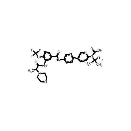 CC(C(=O)Nc1cc(C(=O)Nc2ccc(-c3ccc(N(C(=O)O)C(C)(C)C)nc3)nc2)ccc1OC(F)(F)F)N1CCOCC1